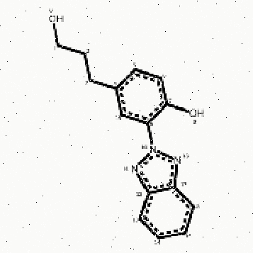 OCCCc1ccc(O)c(-n2nc3ccccc3n2)c1